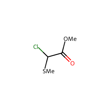 COC(=O)C(Cl)SC